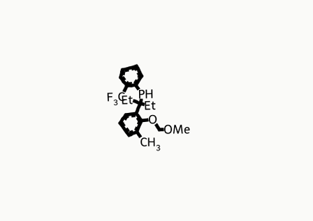 CCC(CC)(Pc1ccccc1C(F)(F)F)c1cccc(C)c1OCOC